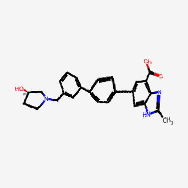 Cc1nc2c(C(=O)O)cc(-c3ccc(-c4cccc(CN5CC[C@@H](O)C5)c4)cc3)cc2[nH]1